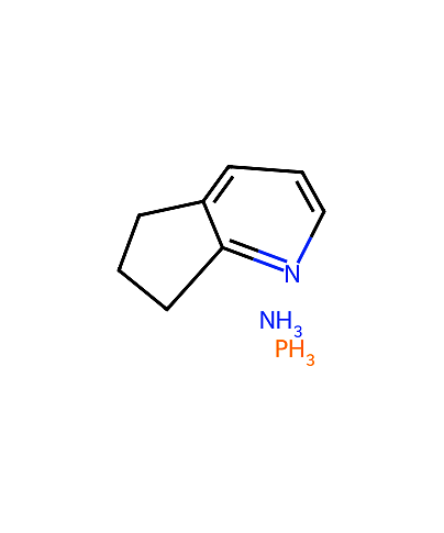 N.P.c1cnc2c(c1)CCC2